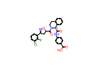 O=C(O)c1ccc(NC(=O)[C@@H]2c3ccccc3CCN2C(=O)C2CC(c3cccc(Cl)c3F)=NO2)cc1